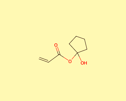 C=CC(=O)OC1(O)CCCC1